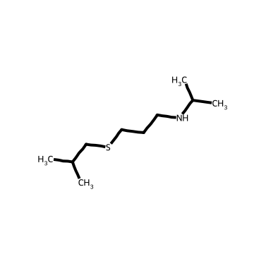 CC(C)CSCCCNC(C)C